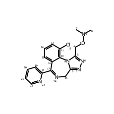 CN(C)OCc1nnc2n1-c1c(Cl)cccc1C(c1ccccn1)=NC2